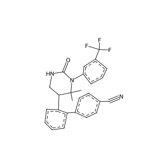 CC1(C)C(c2ccccc2-c2ccc(C#N)cc2)CNC(=O)N1c1cccc(C(F)(F)F)c1